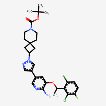 CC(Oc1cc(-c2cnn(C3CC4(CCN(C(=O)OC(C)(C)C)CC4)C3)c2)cnc1N)c1c(Cl)ccc(F)c1Cl